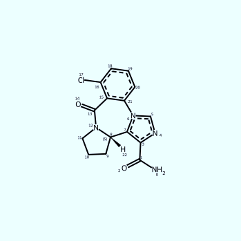 NC(=O)c1ncn2c1[C@@H]1CCCN1C(=O)c1c(Cl)cccc1-2